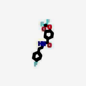 O=C(NCCc1ccc(F)cc1)c1ccc2c(c1)OC(F)(F)O2